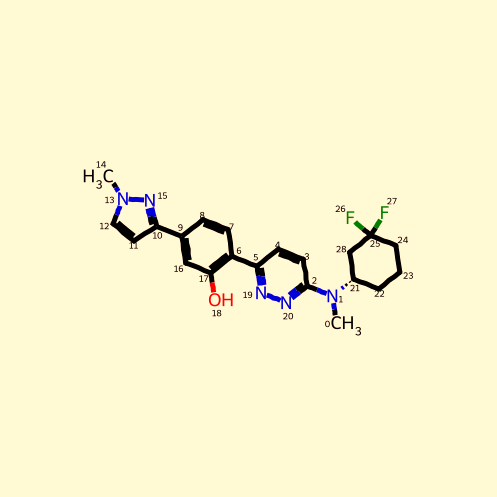 CN(c1ccc(-c2ccc(-c3ccn(C)n3)cc2O)nn1)[C@H]1CCCC(F)(F)C1